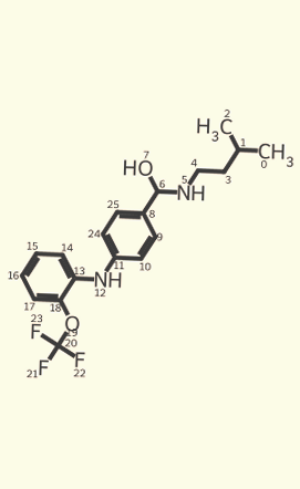 CC(C)CCNC(O)c1ccc(Nc2ccccc2OC(F)(F)F)cc1